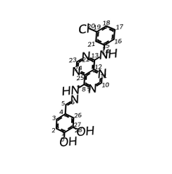 Oc1ccc(C=NNc2ncnc3c(Nc4cccc(Cl)c4)ncnc23)cc1O